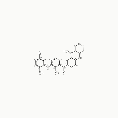 COC1COCCC1NC1CCN(C(=O)c2ncnc(Nc3cc(Cl)ccc3C)c2C)CC1